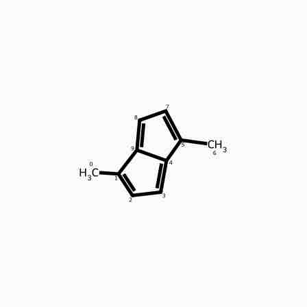 CC1=CC=C2C(C)=CC=C12